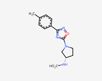 Cc1ccc(-c2noc(N3CC[C@H](NC(=O)O)C3)n2)cc1